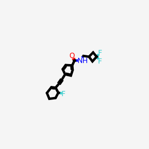 O=C(NCC1CC(F)(F)C1)c1ccc(C#CC2=CCCCC2F)cc1